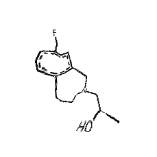 C[C@@H](O)CN1CCc2ccc(F)cc2C1